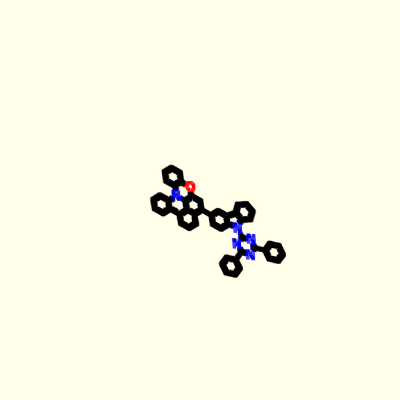 c1ccc(-c2nc(-c3ccccc3)nc(-n3c4ccccc4c4cc(-c5cc6oc7ccccc7n7c8ccccc8c8cccc5c8c6-7)ccc43)n2)cc1